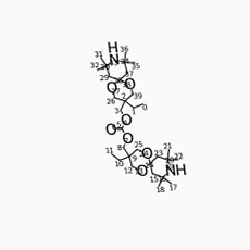 CCC1(COC(=O)OCC2(CC)COC3(CC(C)(C)NC(C)(C)C3)OC2)COC2(CC(C)(C)NC(C)(C)C2)OC1